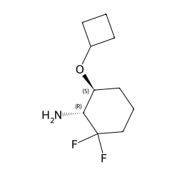 N[C@@H]1[C@@H](OC2CCC2)CCCC1(F)F